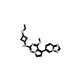 CCOC1CC(Nc2nc(OC)c3c(-c4ccc5ncnn5c4)ccn3n2)C1